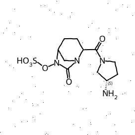 N[C@H]1CCN(C(=O)C2CCC3CN2C(=O)N3OS(=O)(=O)O)C1